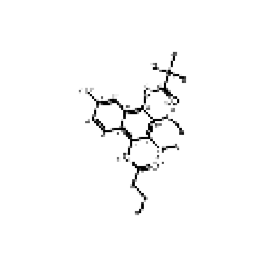 CCCC(=O)Oc1c(OC)c(OC)c(OC(=O)C(C)(C)C)c2cc(Cl)ccc12